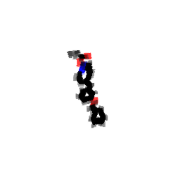 O=C(ON1CCC(=Cc2cccc(OCc3ccccc3)c2)CC1)C(F)(F)F